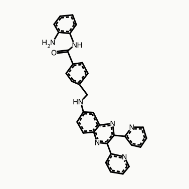 Nc1ccccc1NC(=O)c1ccc(CNc2ccc3nc(-c4ccccn4)c(-c4ccccn4)nc3c2)cc1